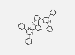 c1ccc(-c2cc(-c3cccc4sc5c(-c6nc(-c7ccccc7)nc(-c7ccccc7)n6)cccc5c34)nc(-c3ccccc3)n2)cc1